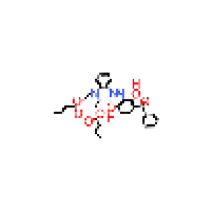 CC=CC(=O)OCCN(CCOC(=O)C=CC)c1ccccc1N=Nc1c(O)ccc(C(=O)c2ccccc2)c1O